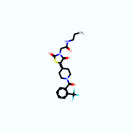 CCCNC(=O)CN1C(=O)SC(=C2CCN(C(=O)c3ccccc3C(F)(F)F)CC2)C1=O